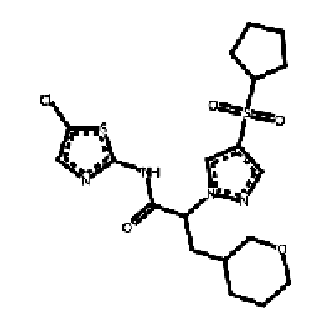 O=C(Nc1ncc(Cl)s1)C(CC1CCCOC1)n1cc(S(=O)(=O)C2CCCC2)cn1